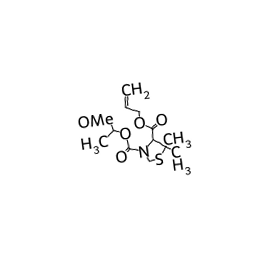 C=CCOC(=O)C1N(C(=O)OC(C)OC)CSC1(C)C